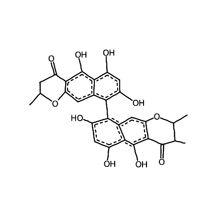 CC1CC(=O)c2c(cc3c(-c4c(O)cc(O)c5c(O)c6c(cc45)OC(C)C(C)C6=O)c(O)cc(O)c3c2O)O1